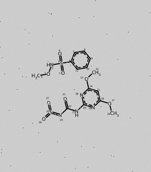 CONS(=O)(=O)c1ccccc1.COc1cc(OC)nc(NC(=O)N=S(=O)=O)n1